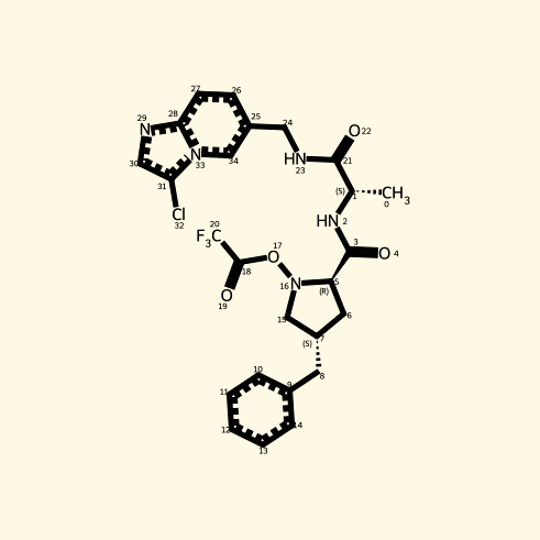 C[C@H](NC(=O)[C@H]1C[C@H](Cc2ccccc2)CN1OC(=O)C(F)(F)F)C(=O)NCc1ccc2ncc(Cl)n2c1